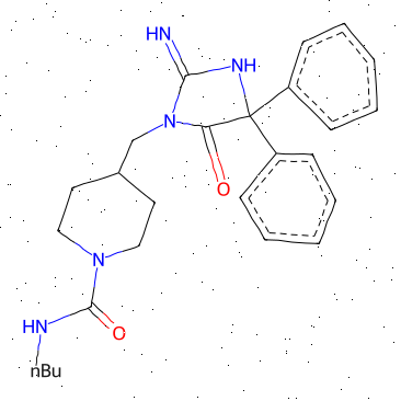 CCCCNC(=O)N1CCC(CN2C(=N)NC(c3ccccc3)(c3ccccc3)C2=O)CC1